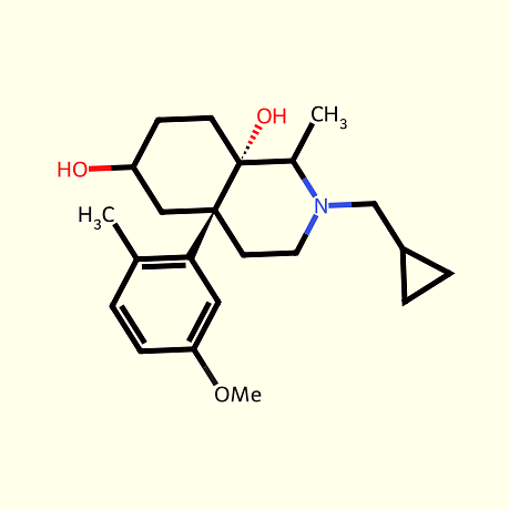 COc1ccc(C)c([C@]23CCN(CC4CC4)C(C)[C@]2(O)CCC(O)C3)c1